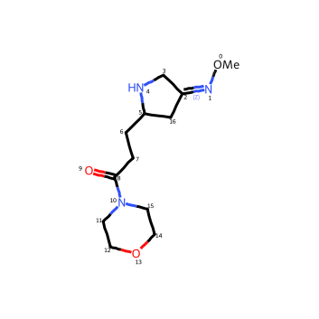 CO/N=C1\CNC(CCC(=O)N2CCOCC2)C1